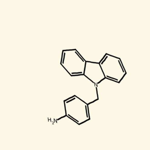 Nc1ccc(Cn2c3ccccc3c3ccccc32)cc1